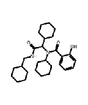 O=C(NCC1CCCCC1)C(C1CCCCC1)N(C(=O)c1ccccc1O)C1CCCCC1